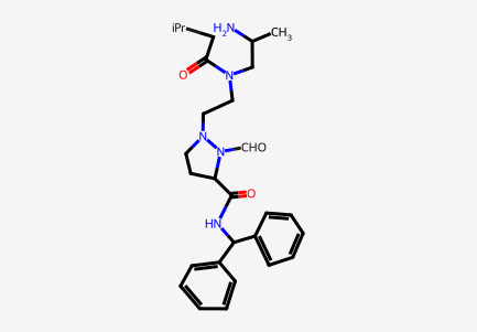 CC(C)CC(=O)N(CCN1CCC(C(=O)NC(c2ccccc2)c2ccccc2)N1C=O)CC(C)N